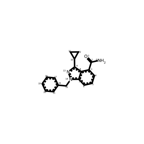 NC(=O)c1cccc2c1c(C1CC1)nn2Cc1ccccc1